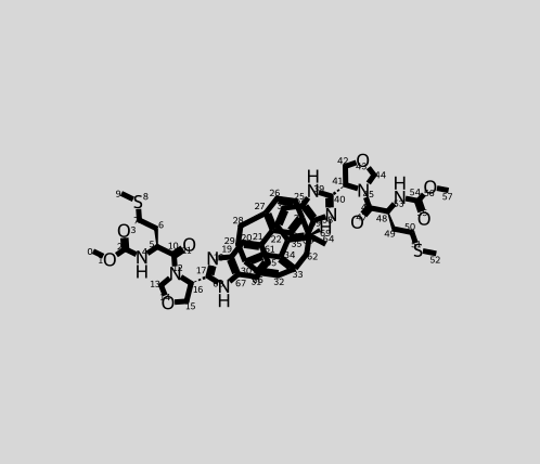 COC(=O)N[C@@H](CCSC)C(=O)N1COC[C@H]1c1nc2cc(-c3cc4ccc3CCc3ccc(c(-c5ccc6[nH]c([C@@H]7COCN7C(=O)[C@H](CCSC)NC(=O)OC)nc6c5)c3)C[C@H]4C)ccc2[nH]1